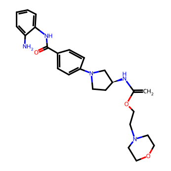 C=C(N[C@H]1CCN(c2ccc(C(=O)Nc3ccccc3N)cc2)C1)OCCN1CCOCC1